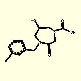 Cc1cccc(CN2CC(O)CN(C(=O)O)CC2=O)c1